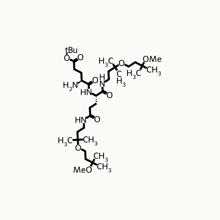 COC(C)(C)CCOC(C)(C)CCNC(=O)CC[C@H](NC(=O)[C@@H](N)CCC(=O)OC(C)(C)C)C(=O)NCCC(C)(C)OCCC(C)(C)OC